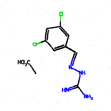 CC(=O)O.N=C(N)N/N=C/c1cc(Cl)cc(Cl)c1